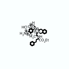 CCOC(=O)[C@H](CCc1ccccc1)N[C@@H](C)C(=O)N1Cc2ccccc2C[C@H]1C(=O)O.Cl.NS(=O)(=O)c1cc2c(cc1Cl)NCNS2(=O)=O